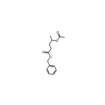 CC(=O)OC(C)CCC(=O)OCc1ccccc1